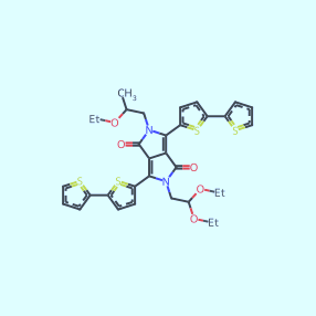 CCOC(C)CN1C(=O)C2=C(c3ccc(-c4cccs4)s3)N(CC(OCC)OCC)C(=O)C2=C1c1ccc(-c2cccs2)s1